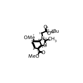 COC(=O)c1ccc(OC)c2c1nc(C)n2CC(=O)OC(C)(C)C